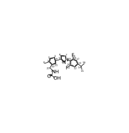 Cc1ccc(-c2ccn(-c3c(F)cc(C(C)C)cc3F)n2)cc1CNC(=O)O